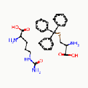 NC(=O)NCCCC(N)C(=O)O.NC(CSC(c1ccccc1)(c1ccccc1)c1ccccc1)C(=O)O